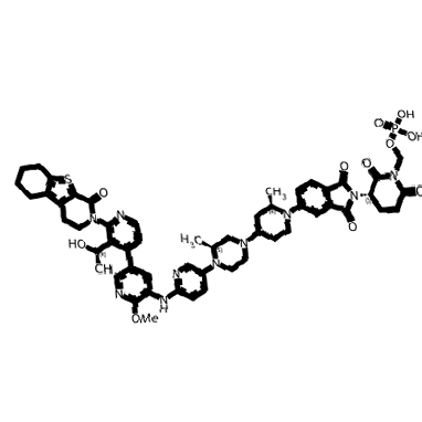 COc1ncc(-c2ccnc(N3CCc4c(sc5c4CCCC5)C3=O)c2[C@@H](C)O)cc1Nc1ccc(N2CCN(C3CCN(c4ccc5c(c4)C(=O)N([C@H]4CCC(=O)N(COP(=O)(O)O)C4=O)C5=O)[C@H](C)C3)C[C@@H]2C)cn1